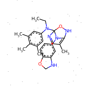 CCN(c1cc(C)c(C)c(C)c1)C12N=CC(C)=C(NO1)N2c1ccc2c(c1)NCO2